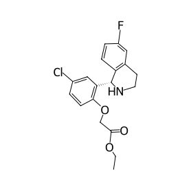 CCOC(=O)COc1ccc(Cl)cc1[C@H]1NCCc2cc(F)ccc21